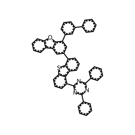 c1ccc(-c2cccc(-c3cc(-c4cccc5c4sc4cccc(-c6nc(-c7ccccc7)nc(-c7ccccc7)n6)c45)cc4c3oc3ccccc34)c2)cc1